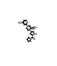 Cl.Cl.Cl.N#Cc1ccnc(N2CCN([C@@H]3CN[C@H](C(=O)N4CCCC4)C3)CC2)c1